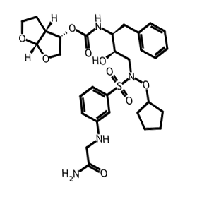 NC(=O)CNc1cccc(S(=O)(=O)N(C[C@@H](O)[C@H](Cc2ccccc2)NC(=O)O[C@@H]2CO[C@@H]3OCC[C@@H]32)OC2CCCC2)c1